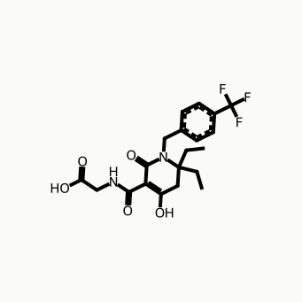 CCC1(CC)CC(O)=C(C(=O)NCC(=O)O)C(=O)N1Cc1ccc(C(F)(F)F)cc1